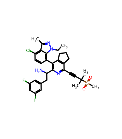 Cc1nn(CC(F)(F)F)c2c(-c3c(C(N)Cc4cc(F)cc(F)c4)nc(C#CC(C)(C)S(C)(=O)=O)c4c3CCC4)ccc(Cl)c12